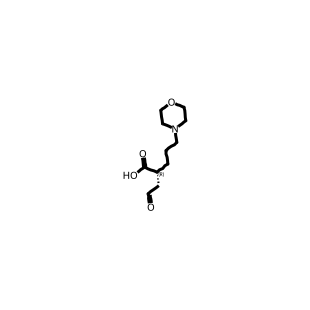 O=CC[C@@H](CCCN1CCOCC1)C(=O)O